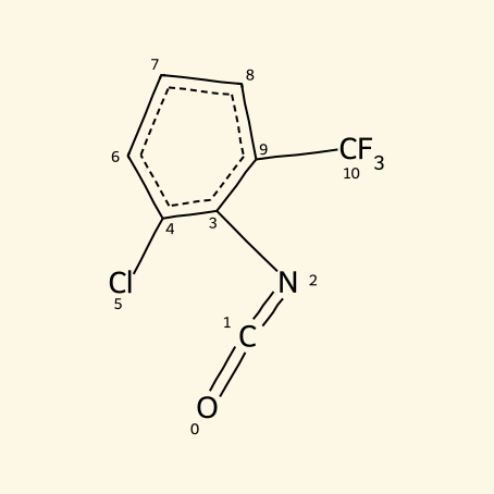 O=C=Nc1c(Cl)cccc1C(F)(F)F